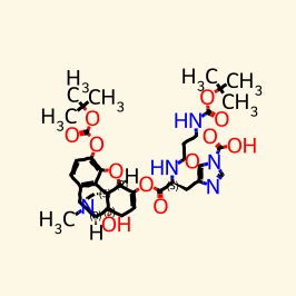 CN1CC[C@]23c4c5ccc(OC(=O)OC(C)(C)C)c4O[C@H]2C(OC(=O)[C@H](Cc2cn(C(=O)O)cn2)NC(=O)CCNC(=O)OC(C)(C)C)=CC[C@@]3(O)[C@H]1C5